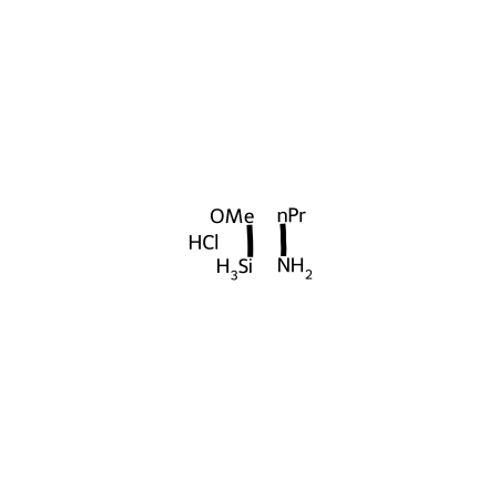 CCCN.CO[SiH3].Cl